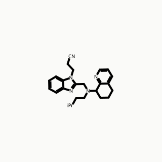 CC(C)CCN(Cc1nc2ccccc2n1CCC#N)C1CCCc2cccnc21